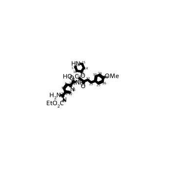 CCOC(=O)N=C(N)c1ccc(C(=O)NC(OC2CCNCC2)(C(=O)O)C(=O)CCc2ccc(OC)cc2)nc1